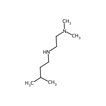 CC(C)CCNCCN(C)C